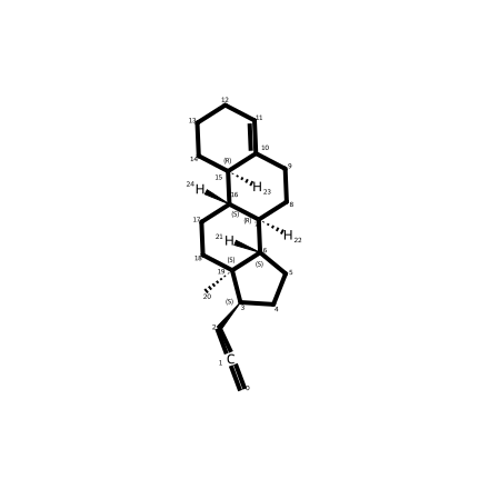 C=C=C[C@@H]1CC[C@H]2[C@@H]3CCC4=CCCC[C@@H]4[C@H]3CC[C@]12C